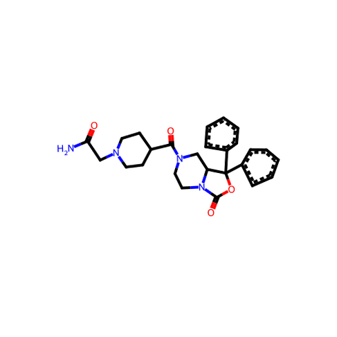 NC(=O)CN1CCC(C(=O)N2CCN3C(=O)OC(c4ccccc4)(c4ccccc4)C3C2)CC1